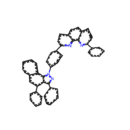 c1ccc(-c2ccc3ccc4ccc(-c5ccc(-n6nc(-c7ccccc7)c7c(-c8ccccc8)cc8ccccc8c76)cc5)nc4c3n2)cc1